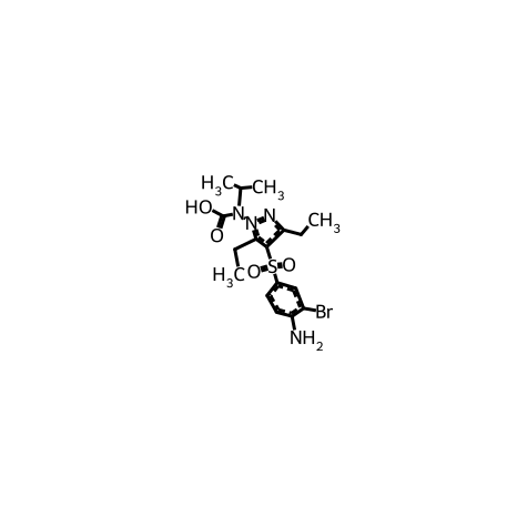 CCc1nn(N(C(=O)O)C(C)C)c(CC)c1S(=O)(=O)c1ccc(N)c(Br)c1